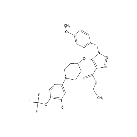 CCOC(=O)c1nnn(Cc2ccc(OC)cc2)c1OC1CCN(c2ccc(OC(F)(F)F)c(Cl)c2)CC1